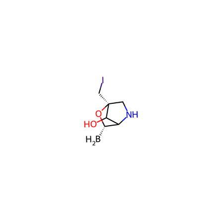 B[C@@H]1O[C@@]2(CI)CNC1C2O